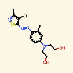 Cc1cc(N(CCO)CCO)ccc1N=Nc1snc(C)c1C#N